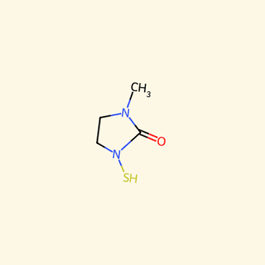 CN1CCN(S)C1=O